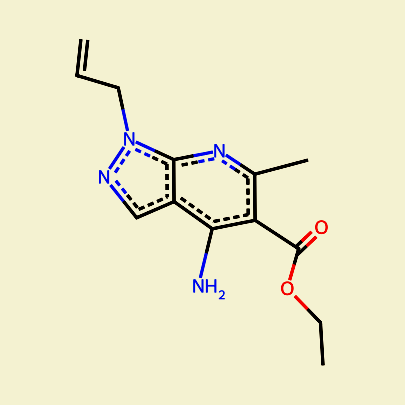 C=CCn1ncc2c(N)c(C(=O)OCC)c(C)nc21